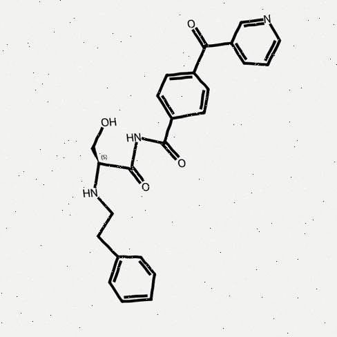 O=C(NC(=O)[C@H](CO)NCCc1ccccc1)c1ccc(C(=O)c2cccnc2)cc1